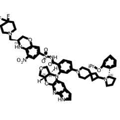 CC(C)Oc1ccccc1[C@@H]1CCCN1C1CC2(CCN(c3ccc(C(=O)NS(=O)(=O)c4cc5c(c([N+](=O)[O-])c4)N[C@@H](CN4CCC(F)(F)CC4)CO5)c(N4c5cc6cc[nH]c6nc5O[C@@H]5COC[C@H]54)c3)CC2)C1